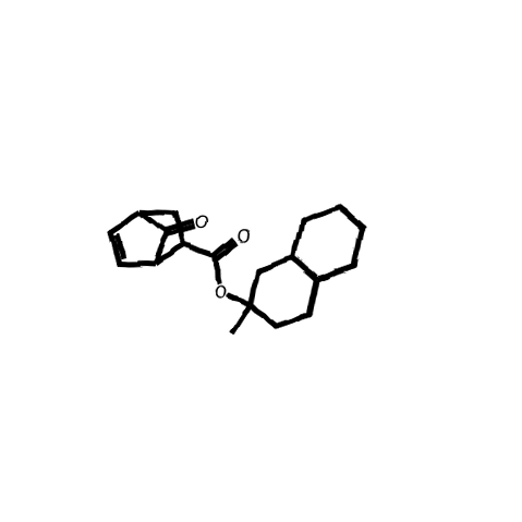 CC1(OC(=O)C2CC3C=CC2C3=O)CCC2CCCCC2C1